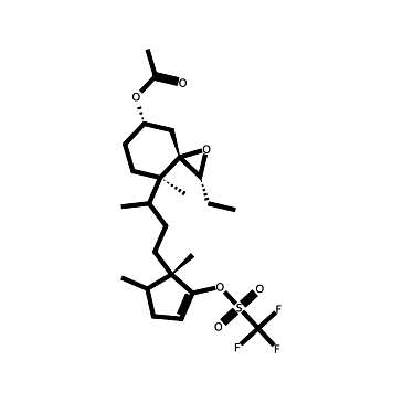 CC[C@H]1O[C@]12C[C@@H](OC(C)=O)CC[C@]2(C)C(C)CC[C@]1(C)C(OS(=O)(=O)C(F)(F)F)=CCC1C